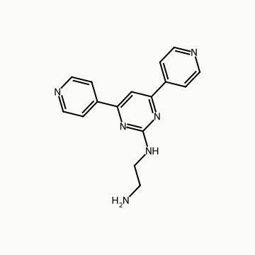 NCCNc1nc(-c2ccncc2)cc(-c2ccncc2)n1